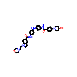 O=C(Nc1ccc(Nc2ccc(NC(=O)c3ccc4c(ccn4CCN4CCOCC4)c3)cc2)cc1)c1ccc(N2CCC(O)CC2)cc1